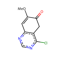 COC1=Cc2ncnc(Cl)c2CC1=O